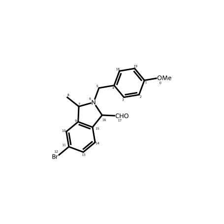 COc1ccc(CN2C(C)c3cc(Br)ccc3C2C=O)cc1